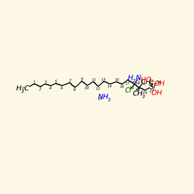 CCCCCCCCCCCCCCCCCCC(N)(Cl)C(C)(C)C[Si](O)(O)O.N